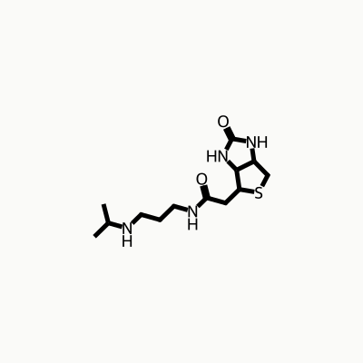 CC(C)NCCCNC(=O)CC1SCC2NC(=O)NC21